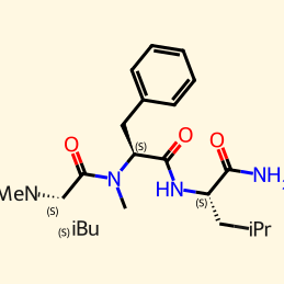 CC[C@H](C)[C@H](NC)C(=O)N(C)[C@@H](Cc1ccccc1)C(=O)N[C@@H](CC(C)C)C(N)=O